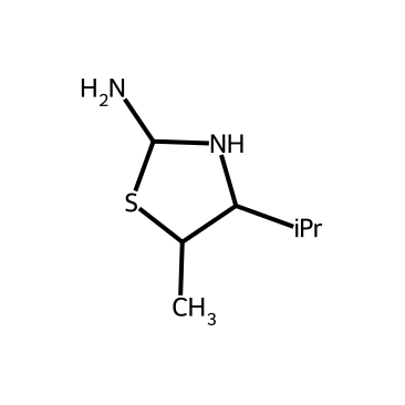 CC(C)C1NC(N)SC1C